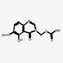 COc1ccc2ncn(COC(=O)C(C)(C)C)c(=O)c2c1O